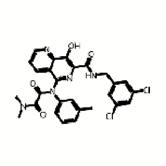 Cc1cccc(N(C(=O)C(=O)N(C)C)c2nc(C(=O)NCc3cc(Cl)cc(Cl)c3)c(O)c3ncccc23)c1